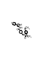 COc1ccc2c(c1)n(CC1CCC(C(=O)Nc3cc(-c4ccncc4)n[nH]3)CC1)c(=O)n2C